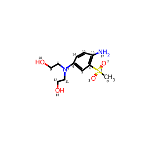 CS(=O)(=O)c1cc(N(CCO)CCO)ccc1N